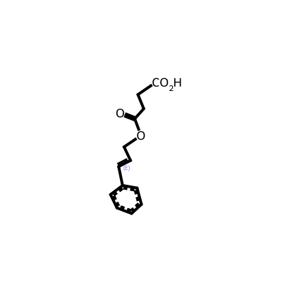 O=C(O)CCC(=O)OC/C=C/c1ccccc1